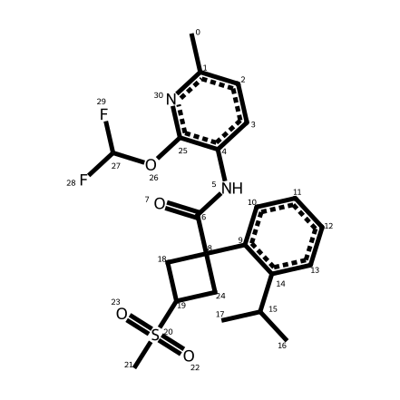 Cc1ccc(NC(=O)C2(c3ccccc3C(C)C)CC(S(C)(=O)=O)C2)c(OC(F)F)n1